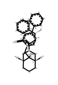 C[C@H](CC(=O)N1C[C@H]2CCC[C@@H](C1)C2(O)Cn1cnc(-c2ccccc2F)cc1=O)c1ccccc1